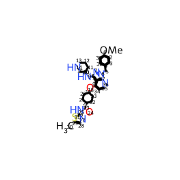 COc1ccc(Cn2nc(N[C@@H]3CCCNC3)c3c(O[C@H]4CC[C@H](C(=O)Nc5ncc(C)s5)CC4)ccnc32)cc1